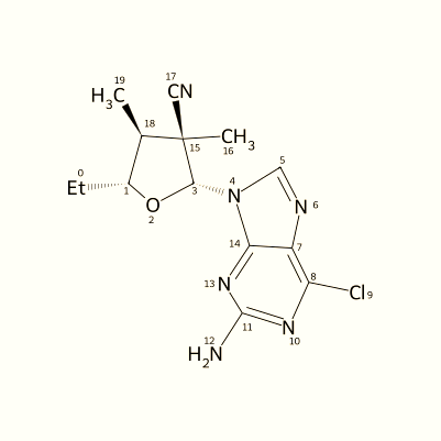 CC[C@H]1O[C@@H](n2cnc3c(Cl)nc(N)nc32)[C@](C)(C#N)[C@@H]1C